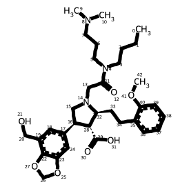 CCCCN(CCCN(C)C)C(=O)CN1C[C@H](c2cc(CO)c3c(c2)OCO3)[C@@H](C(=O)O)[C@@H]1CCc1ccccc1OC